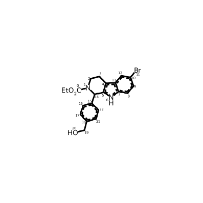 CCOC(=O)N1CCc2c([nH]c3ccc(Br)cc23)C1c1ccc(CO)cc1